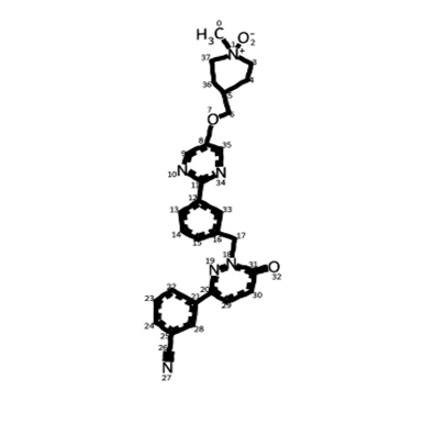 C[N+]1([O-])CCC(COc2cnc(-c3cccc(Cn4nc(-c5cccc(C#N)c5)ccc4=O)c3)nc2)CC1